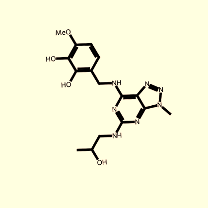 COc1ccc(CNc2nc(NCC(C)O)nc3c2nnn3C)c(O)c1O